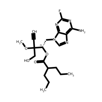 C#CC(CO)(OC)[C@H](Cn1cnc2c(N)nc(F)nc21)OC(=O)C(CCC)CCC